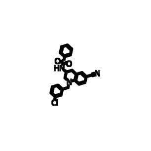 N#Cc1ccc2c(c1)CC(NS(=O)(=O)c1ccccc1)CN2Cc1cccc(Cl)c1